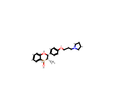 C[C@H]1[C@@H](c2ccc(OCCCN3CCCC3)cc2)Oc2ccccc2[S+]1[O-]